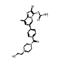 CCc1nc2c(C)cc(-c3ccc(C(=O)N4CCN(CCO)CC4)cc3)cn2c1OC(N)=O